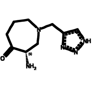 N[C@H]1CN(Cc2c[nH]nn2)CCCC1=O